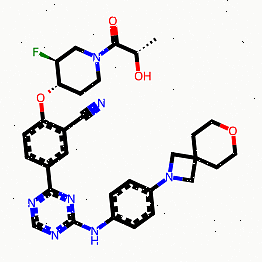 C[C@H](O)C(=O)N1CC[C@H](Oc2ccc(-c3ncnc(Nc4ccc(N5CC6(CCOCC6)C5)cc4)n3)cc2C#N)[C@@H](F)C1